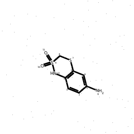 Nc1ccc2c(c1)SCS(=O)(=O)N2